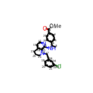 COC(=O)c1ccc(C(C)Nc2nccc3c2N(Cc2cccc(Cl)c2)CCC3)cc1